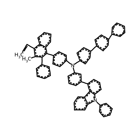 C/C=C\c1c(C)c(-c2ccccc2)c(-c2ccc(N(c3ccc(-c4ccc(-c5ccccc5)cc4)cc3)c3cccc(-c4cccc5c4c4ccccc4n5-c4ccccc4)c3)cc2)c2ccccc12